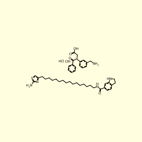 Cl.Cl.NCc1cccc(N(CC(=O)O)C(=O)c2ccccc2)c1.Nc1nc(CCCCCCCCCCCCCCCCNC(=O)c2ccc3c(c2)NCC3)cs1